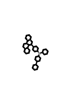 c1ccc(-c2ccc(N(c3ccccc3)c3ccc(-c4cc5ccccc5c5ccc6ccccc6c45)cc3)cc2)cc1